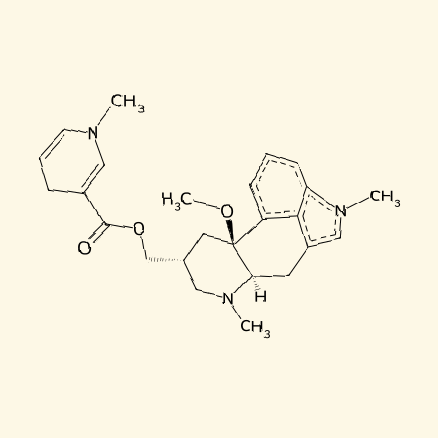 CO[C@]12C[C@@H](COC(=O)C3=CN(C)C=CC3)CN(C)[C@@H]1Cc1cn(C)c3cccc2c13